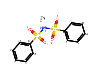 O=S(=O)(NS(=O)(=O)c1ccccc1)c1ccccc1.[Zn]